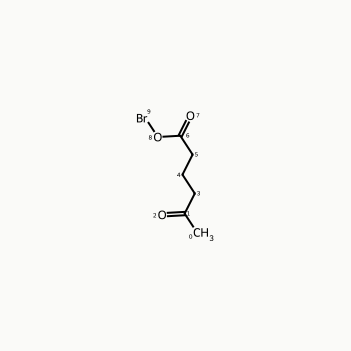 CC(=O)CCCC(=O)OBr